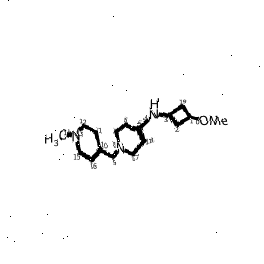 COC1CC(NC2CCN(CC3CCN(C)CC3)CC2)C1